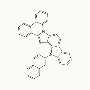 c1ccc2cc(-n3c4ccccc4c4ccc5c(nc6c7ccccc7c7ccccc7n56)c43)ccc2c1